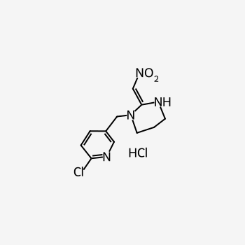 Cl.O=[N+]([O-])C=C1NCCCN1Cc1ccc(Cl)nc1